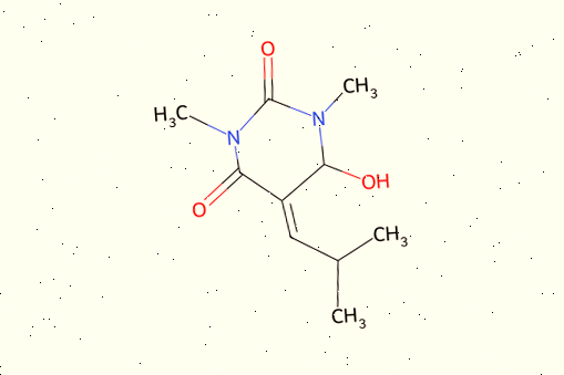 CC(C)/C=C1/C(=O)N(C)C(=O)N(C)C1O